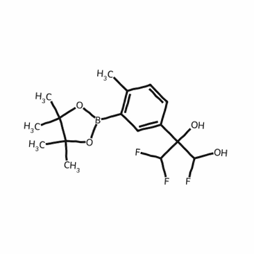 Cc1ccc(C(O)(C(O)F)C(F)F)cc1B1OC(C)(C)C(C)(C)O1